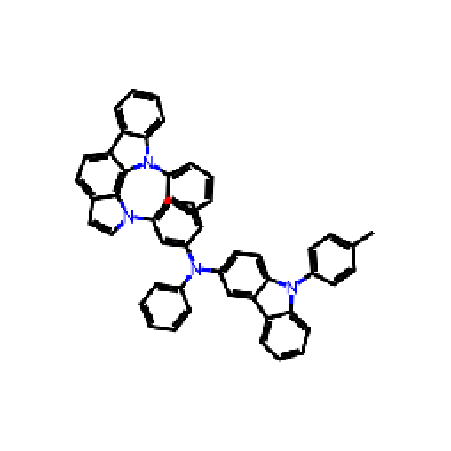 Cc1ccc(-n2c3ccccc3c3cc(N(c4ccccc4)c4cccc(-n5ccc6ccc7c8ccccc8n(-c8ccccc8)c7c65)c4)ccc32)cc1